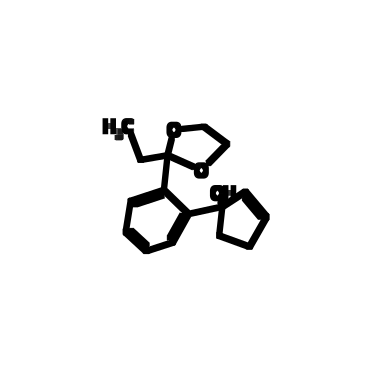 CCC1(c2ccccc2C2(O)C=CCC2)OCCO1